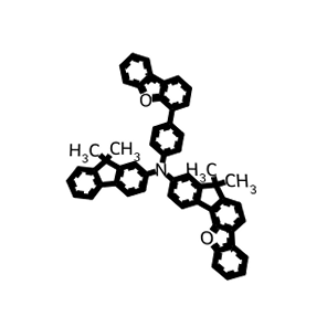 CC1(C)c2ccccc2-c2ccc(N(c3ccc(-c4cccc5c4oc4ccccc45)cc3)c3ccc4c(c3)C(C)(C)c3ccc5c(oc6ccccc65)c3-4)cc21